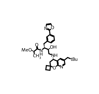 CO[C@H](C)C(=O)N[C@@H](Cc1cccc(-c2ncco2)c1)[C@@H](O)CN[C@H]1CC2(CCC2)Oc2ncc(CC(C)(C)C)cc21